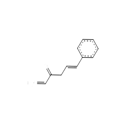 C=CC(=O)CC=Cc1ccccc1